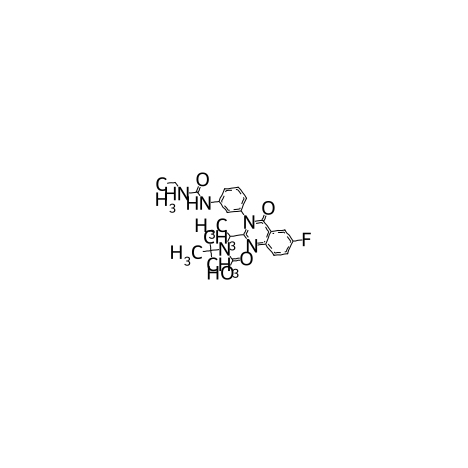 CCNC(=O)Nc1cccc(-n2c(C(C)N(C(=O)O)C(C)(C)C)nc3ccc(F)cc3c2=O)c1